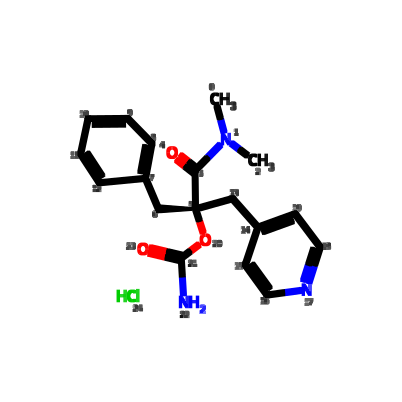 CN(C)C(=O)[C@](Cc1ccccc1)(Cc1ccncc1)OC(N)=O.Cl